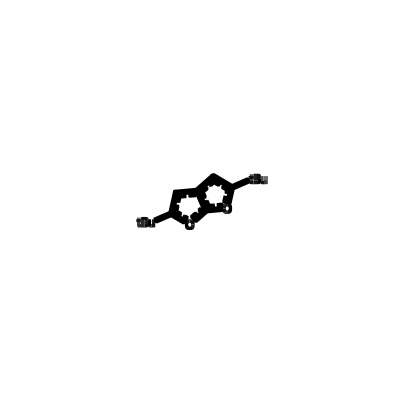 CC(C)(C)c1cc2cc(C(C)(C)C)oc2o1